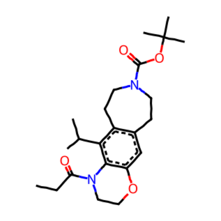 CCC(=O)N1CCOc2cc3c(c(C(C)C)c21)CCN(C(=O)OC(C)(C)C)CC3